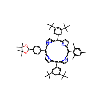 Cc1cc(C)c(-c2c3nc(c(-c4cc(C(C)(C)C)cc(C(C)(C)C)c4)c4ccc([nH]4)c(-c4ccc(B5OC(C)(C)C(C)(C)O5)cc4)c4nc(c(-c5cc(C(C)(C)C)cc(C(C)(C)C)c5)c5ccc2[nH]5)C=C4)C=C3)c(C)c1